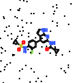 O=C(Nc1cc(-c2ccc(NS(=O)(=O)C3CC3)c(F)c2)c2cc[nH]c2n1)C1CC1